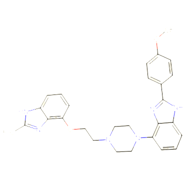 FC(F)(F)Oc1ccc(-c2nc3c(N4CCN(CCOc5cccc6[nH]c(C(F)(F)F)nc56)CC4)cccc3[nH]2)cc1